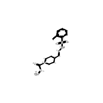 Cc1ccccc1S(=O)(=O)NN=CC1CCN(C(=O)OC(C)(C)C)CC1